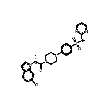 C[C@H](C(=O)N1CCN(c2ccc(S(=O)(=O)Nc3ncccn3)cc2)CC1)n1ccc2ccc(Cl)cc21